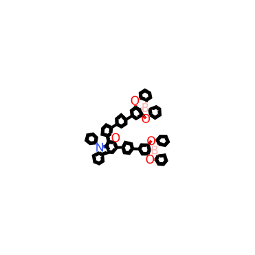 c1ccc(-n2c3ccccc3c3cc(-c4ccc(-c5cc6c7c(c5)Oc5ccccc5B7c5ccccc5O6)cc4)c4oc5c(-c6ccc(-c7cc8c9c(c7)Oc7ccccc7B9c7ccccc7O8)cc6)cccc5c4c32)cc1